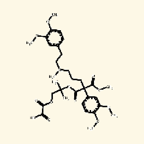 COC(=O)C(CCCN(C)CCc1ccc(OC)c(OC)c1)(C(=O)OC(C)(C)COC(=O)C(=O)O)c1ccc(OC)c(OC)c1